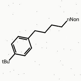 [CH2]CCCCCCCCCCCCc1ccc(C(C)(C)C)cc1